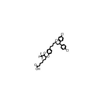 CN(CCCc1ccc(OC(CCCCCC(=O)O)C(=O)C(F)(F)F)cc1)CC(c1ccc(Cl)cc1)c1ccc(Cl)cc1